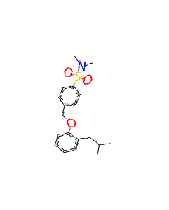 CC(C)Cc1ccccc1OCc1ccc(S(=O)(=O)N(C)C)cc1